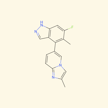 Cc1cn2cc(-c3c(C)c(F)cc4[nH]ncc34)ccc2n1